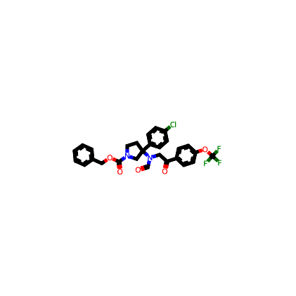 O=CN(CC(=O)c1ccc(OC(F)(F)F)cc1)C1(c2ccc(Cl)cc2)CCN(C(=O)OCc2ccccc2)C1